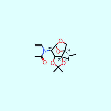 C=CN(C(C)=O)[C@H]1C2OC[C@](CC)(O2)[C@@H]2OC(C)(C)OC12